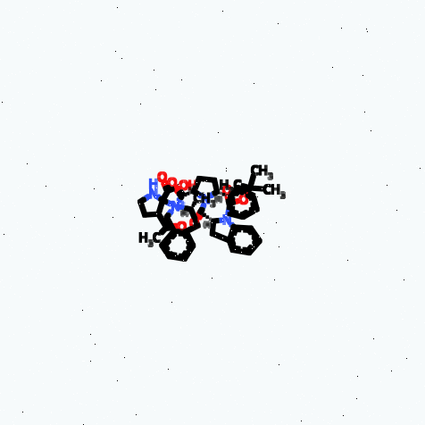 CC(=O)C1CCNC1(C(=O)O)[N+]1(C(=O)[C@@H]2CC[C@H](c3ccccc3)N2C(=O)[C@H]2Cc3ccccc3N2C(=O)OC(C)(C)C)Cc2ccccc2C[C@H]1C